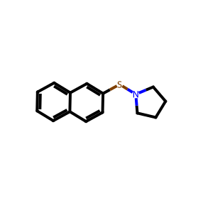 c1ccc2cc(SN3CCCC3)ccc2c1